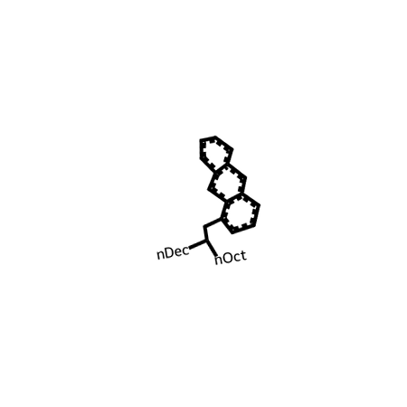 CCCCCCCCCCC(CCCCCCCC)Cc1cccc2cc3ccccc3cc12